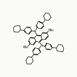 CC(C)(C)c1ccc2c(N(c3ccc(C4CCCCC4)cc3)c3ccc(C4CCCCC4)cc3)c3cc(C(C)(C)C)ccc3c(N(c3ccc(C4CCCCC4)cc3)c3ccc(C4CCCCC4)cc3)c2c1